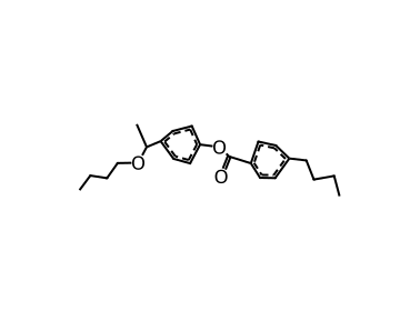 CCCCOC(C)c1ccc(OC(=O)c2ccc(CCCC)cc2)cc1